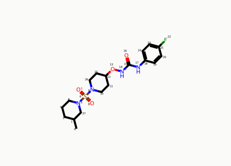 CC1CCCN(S(=O)(=O)N2CCC(ONC(=O)Nc3ccc(F)cc3)CC2)C1